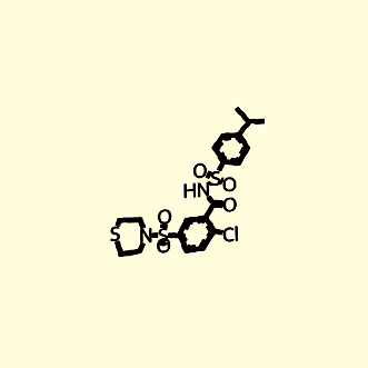 CC(C)c1ccc(S(=O)(=O)NC(=O)c2cc(S(=O)(=O)N3CCSCC3)ccc2Cl)cc1